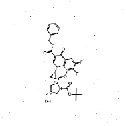 CC(C)(C)OC(=O)N1C[C@H](CO)C[C@H]1COc1c(F)c(F)cc2c(=O)c(C(=O)OCc3ccccc3)cn(C3CC3)c12